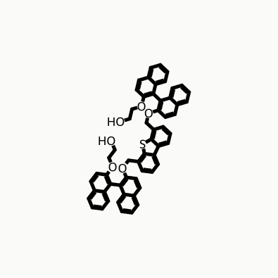 OCCOc1ccc2ccccc2c1-c1c(OCc2cccc3c2sc2c(COc4ccc5ccccc5c4-c4c(OCCO)ccc5ccccc45)cccc23)ccc2ccccc12